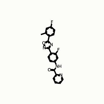 Cc1cc(F)ccc1-c1nc(-c2ccc(NC(=O)c3ccccn3)cc2F)no1